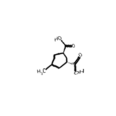 CC1C[C@@H](C(=O)O)[C@H](C(=O)O)C1